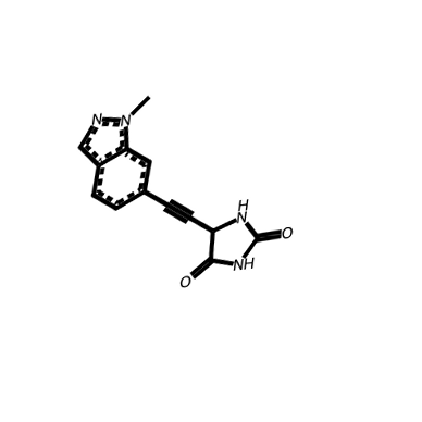 Cn1ncc2ccc(C#CC3NC(=O)NC3=O)cc21